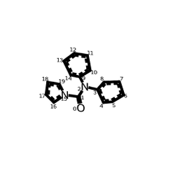 O=C(N(c1ccccc1)c1ccccc1)n1cccc1